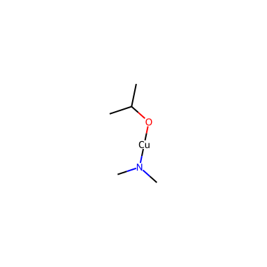 CC(C)[O][Cu][N](C)C